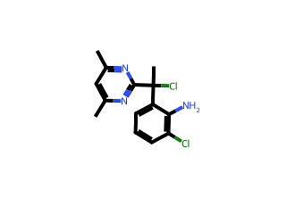 Cc1cc(C)nc(C(C)(Cl)c2cccc(Cl)c2N)n1